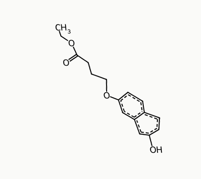 CCOC(=O)CCCOc1ccc2ccc(O)cc2c1